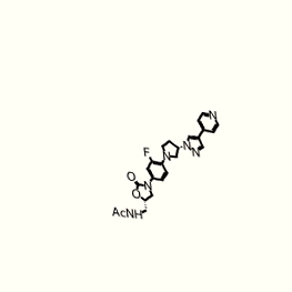 CC(=O)NC[C@H]1CN(c2ccc(N3CC[C@H](n4cc(-c5ccncc5)cn4)C3)c(F)c2)C(=O)O1